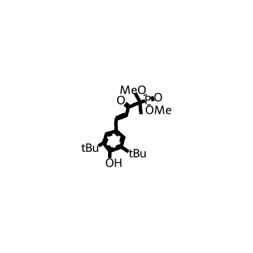 COP(=O)(OC)C(C)(C)C(=O)C=Cc1cc(C(C)(C)C)c(O)c(C(C)(C)C)c1